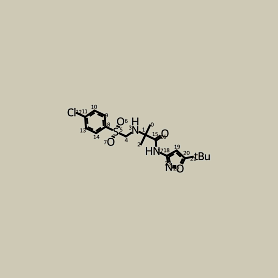 CC(C)(NCS(=O)(=O)c1ccc(Cl)cc1)C(=O)Nc1cc(C(C)(C)C)on1